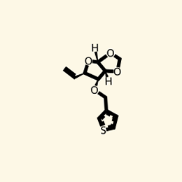 C=C[C@H]1O[C@@H]2OCO[C@@H]2[C@H]1OCc1ccsc1